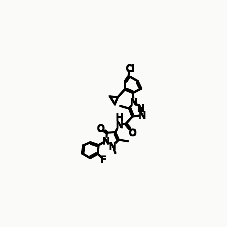 Cc1c(C(=O)Nc2c(C)n(C)n(-c3ccccc3F)c2=O)nnn1-c1ccc(Cl)cc1C1CC1